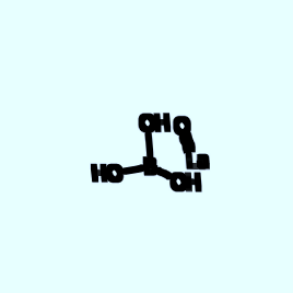 OB(O)O.[O]=[La]